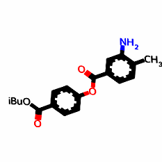 Cc1ccc(C(=O)Oc2ccc(C(=O)OCC(C)C)cc2)cc1N